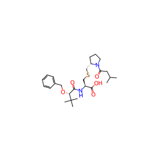 CC(C)CC(=O)N1CCC[C@H]1CSC[C@H](NC(=O)[C@@H](OCc1ccccc1)C(C)(C)C)C(=O)O